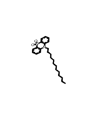 CCCCCCCCCCCCCN1c2ccccc2S(=O)(=O)c2ccccc21